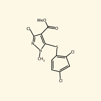 COC(=O)c1c(Cl)nn(C)c1Sc1ccc(Cl)cc1Cl